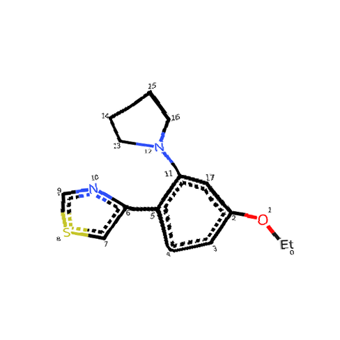 CCOc1ccc(-c2cs[c]n2)c(N2CCCC2)c1